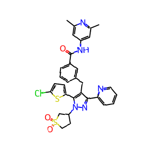 Cc1cc(NC(=O)c2cccc(Cc3c(-c4ccccn4)nn(C4CCS(=O)(=O)C4)c3-c3ccc(Cl)s3)c2)cc(C)n1